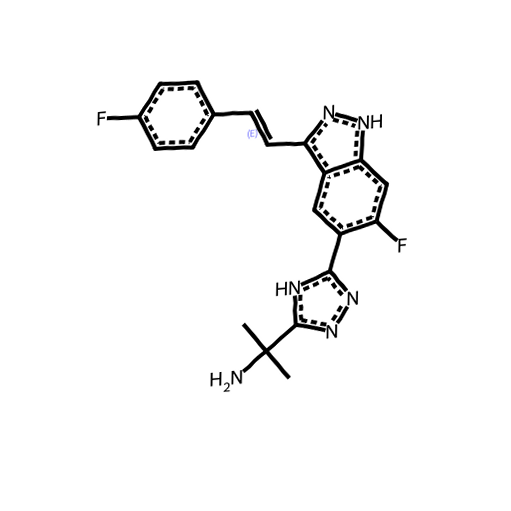 CC(C)(N)c1nnc(-c2cc3c(/C=C/c4ccc(F)cc4)n[nH]c3cc2F)[nH]1